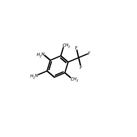 Cc1cc(N)c(N)c(C)c1C(F)(F)F